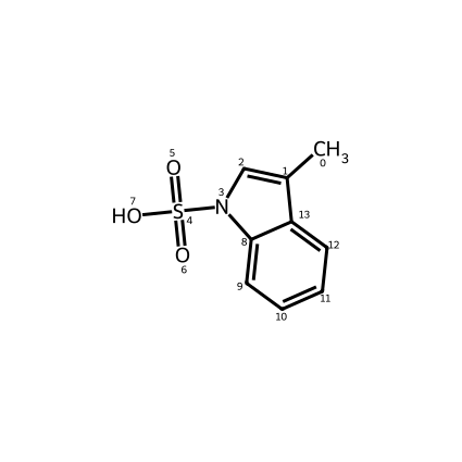 Cc1cn(S(=O)(=O)O)c2ccccc12